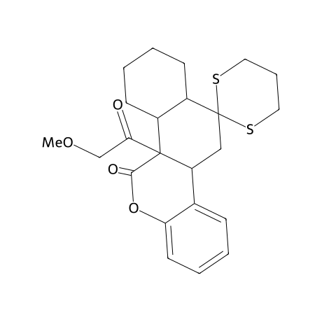 COCC(=O)C12C(=O)Oc3ccccc3C1CC1(SCCCS1)C1CCCCC12